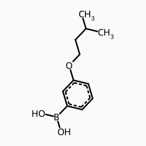 CC(C)CCOc1cccc(B(O)O)c1